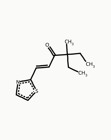 CCC(C)(CC)C(=O)/C=C/c1nccs1